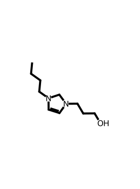 CCCCN1C=CN(CCCO)C1